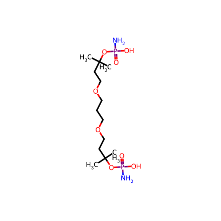 CC(C)(CCOCCCOCCC(C)(C)OP(N)(=O)O)OP(N)(=O)O